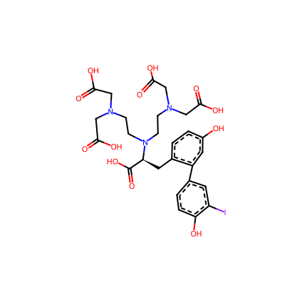 O=C(O)CN(CCN(CCN(CC(=O)O)CC(=O)O)[C@@H](Cc1ccc(O)cc1-c1ccc(O)c(I)c1)C(=O)O)CC(=O)O